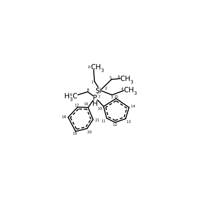 CC[Si](CC)(CC)[PH](CC)(c1ccccc1)c1ccccc1